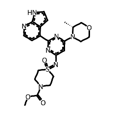 COC(=O)N1CCS(=O)(=Nc2cc(N3CCOC[C@H]3C)nc(-c3ccnc4[nH]ccc34)n2)CC1